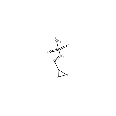 CS(=O)(=O)/N=C/C1CC1